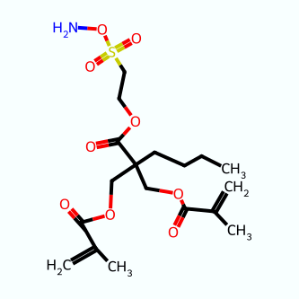 C=C(C)C(=O)OCC(CCCC)(COC(=O)C(=C)C)C(=O)OCCS(=O)(=O)ON